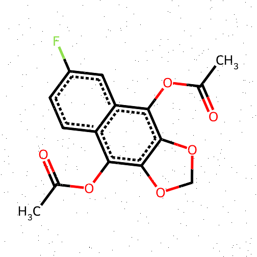 CC(=O)Oc1c2c(c(OC(C)=O)c3cc(F)ccc13)OCO2